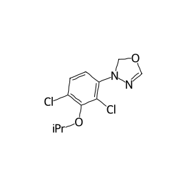 CC(C)Oc1c(Cl)ccc(N2COC=N2)c1Cl